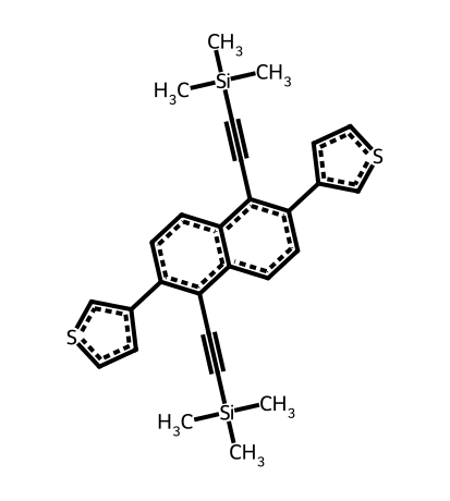 C[Si](C)(C)C#Cc1c(-c2ccsc2)ccc2c(C#C[Si](C)(C)C)c(-c3ccsc3)ccc12